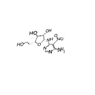 Nc1ncnc(N[C@@H]2O[C@H](CCO)[C@@H](O)[C@H]2O)c1[N+](=O)[O-]